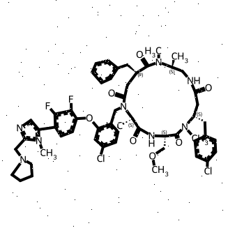 COC[C@@H]1NC(=O)[C@H](C)N(Cc2ccc(Cl)cc2Oc2ccc(-c3cnc(CN4CCCC4)n3C)c(F)c2F)C(=O)C[C@@H](Cc2ccccc2)C(=O)N(C)[C@@H](C)CNC(=O)C[C@H](Cc2ccc(Cl)cc2)N(C)C1=O